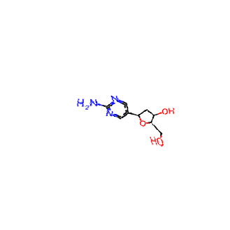 Nc1ncc([C@H]2C[C@@H](O)[C@@H](CO)O2)cn1